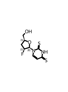 OC[C@@H]1C[C@H](F)[C@H](n2ccc(=S)[nH]c2=S)O1